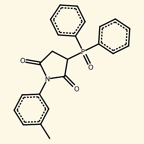 Cc1cccc(N2C(=O)CC(P(=O)(c3ccccc3)c3ccccc3)C2=O)c1